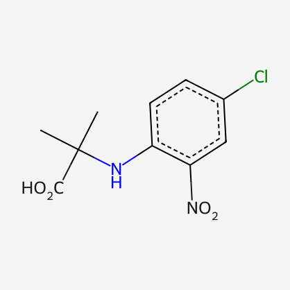 CC(C)(Nc1ccc(Cl)cc1[N+](=O)[O-])C(=O)O